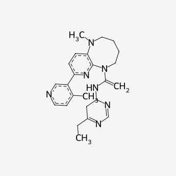 C=C(NC1CC(CC)=NC=N1)N1CCCCN(C)c2ccc(-c3cnccc3C)nc21